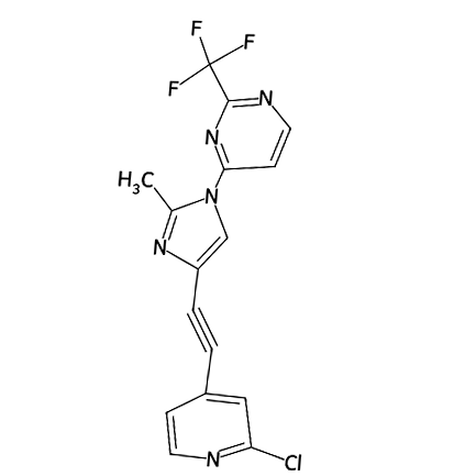 Cc1nc(C#Cc2ccnc(Cl)c2)cn1-c1ccnc(C(F)(F)F)n1